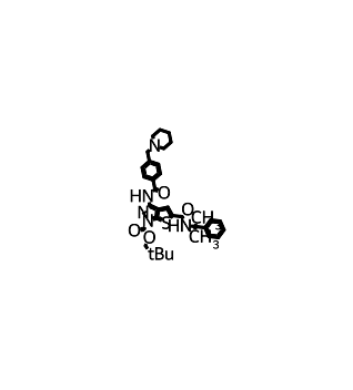 CC(C)(C)COC(=O)n1nc(NC(=O)c2ccc(CN3CCCCC3)cc2)c2cc(C(=O)NC(C)(C)c3ccccc3)sc21